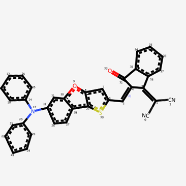 N#CC(C#N)=C1/C(=C/c2cc3oc4cc(N(c5ccccc5)c5ccccc5)ccc4c3s2)C(=O)c2ccccc21